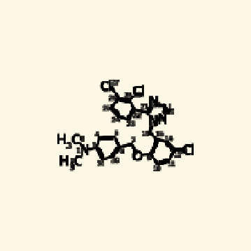 CN(C)c1ccc(COc2ccc(Cl)cc2Cn2nnnc2-c2cccc(Cl)c2Cl)cc1